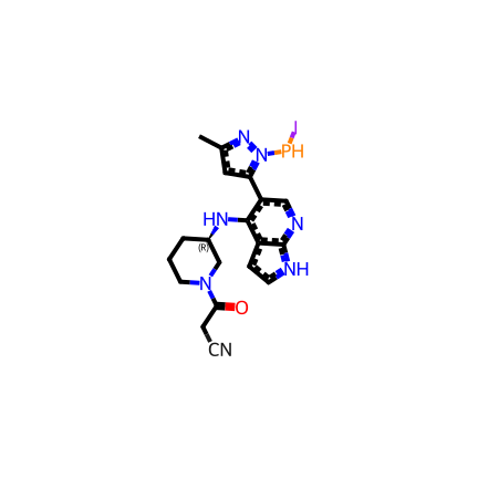 Cc1cc(-c2cnc3[nH]ccc3c2N[C@@H]2CCCN(C(=O)CC#N)C2)n(PI)n1